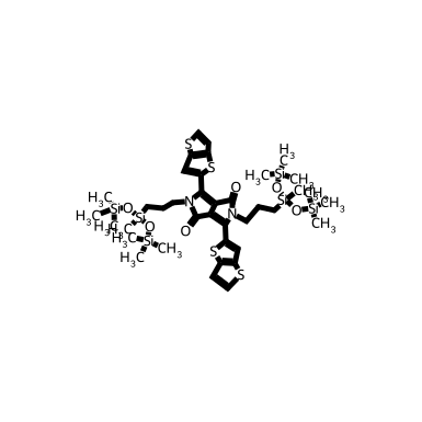 C[Si](C)(C)O[Si](C)(CCCN1C(=O)C2=C(c3cc4sccc4s3)N(CCC[Si](C)(O[Si](C)(C)C)O[Si](C)(C)C)C(=O)C2=C1c1cc2sccc2s1)O[Si](C)(C)C